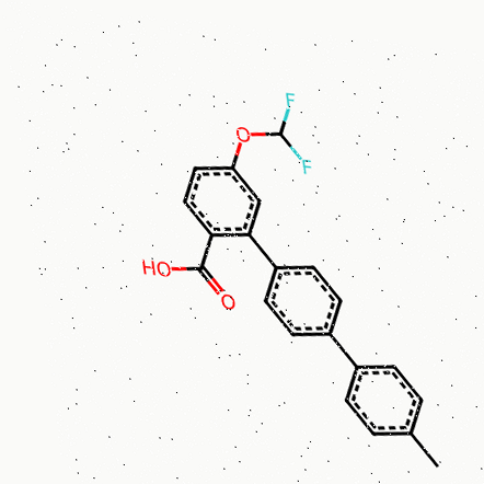 Cc1ccc(-c2ccc(-c3cc(OC(F)F)ccc3C(=O)O)cc2)cc1